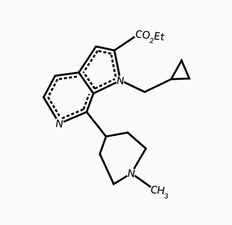 CCOC(=O)c1cc2ccnc(C3CCN(C)CC3)c2n1CC1CC1